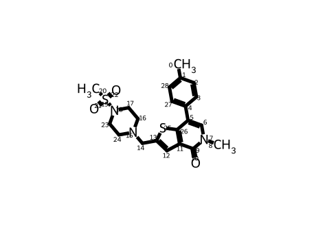 Cc1ccc(-c2cn(C)c(=O)c3cc(CN4CCN(S(C)(=O)=O)CC4)sc23)cc1